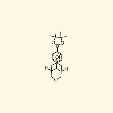 CC1(C)OB(c2ccc(C3[C@@H]4COC[C@H]3C[C@H](O)C4)cc2)OC1(C)C